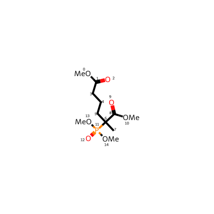 COC(=O)CCCC(C)(C(=O)OC)P(=O)(OC)OC